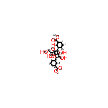 COC(=O)c1cccc(C2C(O)[C@@]3(O)C(c4cccc(C(=O)OC)c4)[C@@](O)([C@H](O)CO)[C@@]23O)c1